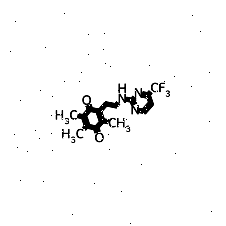 CC1=C(C)C(=O)C(CCNc2nccc(C(F)(F)F)n2)=C(C)C1=O